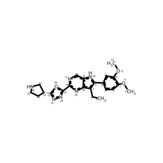 CCc1c(-c2ccc(OC)c(OC)c2)[nH]c2cnc(-c3nnc([C@@H]4CCNC4)o3)nc12